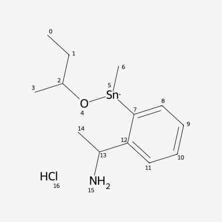 CCC(C)[O][Sn]([CH3])[c]1ccccc1C(C)N.Cl